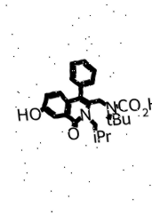 CC(C)Cn1c(CN(C(=O)O)C(C)(C)C)c(-c2ccccc2)c2ccc(O)cc2c1=O